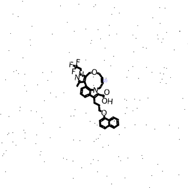 Cc1nn(CC(F)(F)F)c2c1-c1cccc3c(CCCOc4cccc5ccccc45)c(C(=O)O)n(c13)C/C=C\COC2